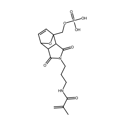 C=C(C)C(=O)NCCCN1C(=O)C2C3C=CC(COP(=O)(O)O)(O3)C2C1=O